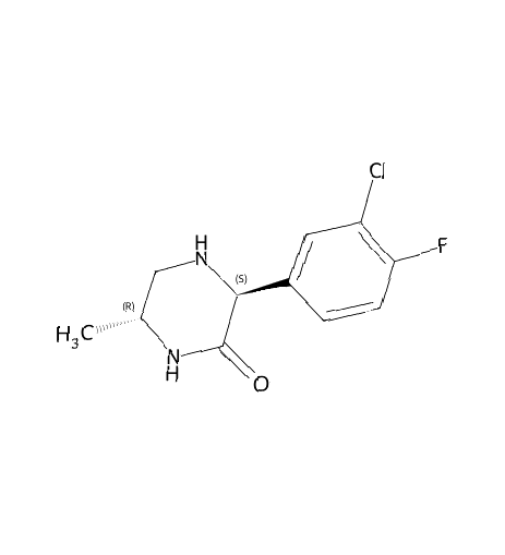 C[C@@H]1CN[C@@H](c2ccc(F)c(Cl)c2)C(=O)N1